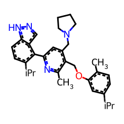 Cc1ccc(C(C)C)cc1OCc1c(CN2CCCC2)cc(-c2c(C(C)C)ccc3[nH]ncc23)nc1C